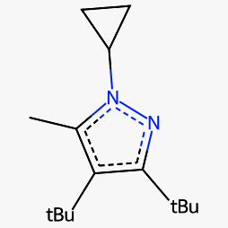 Cc1c(C(C)(C)C)c(C(C)(C)C)nn1C1CC1